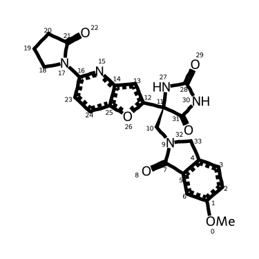 COc1ccc2c(c1)C(=O)N(C[C@@]1(c3cc4nc(N5CCCC5=O)ccc4o3)NC(=O)NC1=O)C2